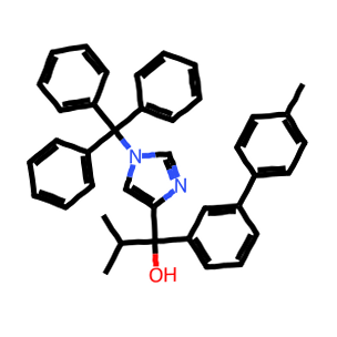 Cc1ccc(-c2cccc(C(O)(c3cn(C(c4ccccc4)(c4ccccc4)c4ccccc4)cn3)C(C)C)c2)cc1